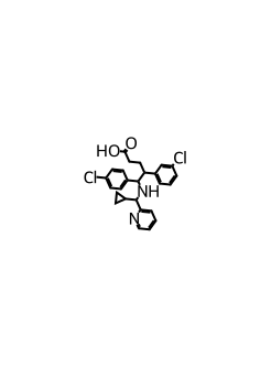 O=C(O)CCC(c1cccc(Cl)c1)C(NC(c1ccccn1)C1CC1)c1ccc(Cl)cc1